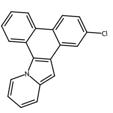 Clc1ccc2c3ccccc3c3c(cc4ccccn43)c2c1